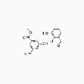 COC(=O)c1cc(O)cc(C=O)c1.COc1c(O)cccc1C=O